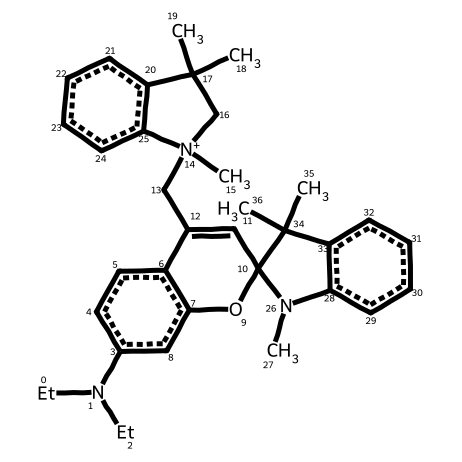 CCN(CC)c1ccc2c(c1)OC1(C=C2C[N+]2(C)CC(C)(C)c3ccccc32)N(C)c2ccccc2C1(C)C